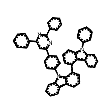 c1ccc(-c2cc(-c3ccc(-n4c5ccccc5c5cccc(-c6cccc7c6c6ccccc6n7-c6ccccc6)c54)cc3)nc(-c3ccccc3)n2)cc1